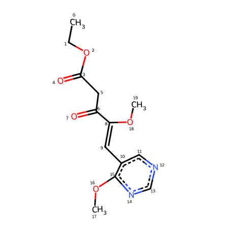 CCOC(=O)CC(=O)C(=Cc1cncnc1OC)OC